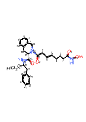 O=C(CCCCCCC(=O)N1Cc2ccccc2C[C@H]1C(=O)N[C@@H](Cc1ccccc1)C(=O)O)NO